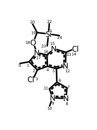 Cc1c(Cl)c2c(-c3cnn(C)c3)nc(Cl)nc2n1OC(C)[Si](C)(C)C